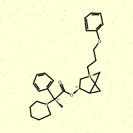 C[C@](C(=O)O[C@H]1C[N+]2(CCCOc3ccccc3)CC23CC13)(c1ccccc1)N1CCCCC1